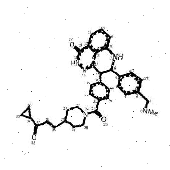 CNCc1ccc(C2Nc3cccc4c(=O)[nH]nc(c34)C2c2ccc(C(=O)N3CCC(CCC(=O)C4CC4)CC3)cc2)cc1